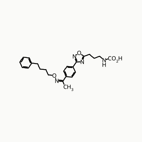 CC(=NOCCCCc1ccccc1)c1ccc(-c2noc(CCCNC(=O)O)n2)cc1